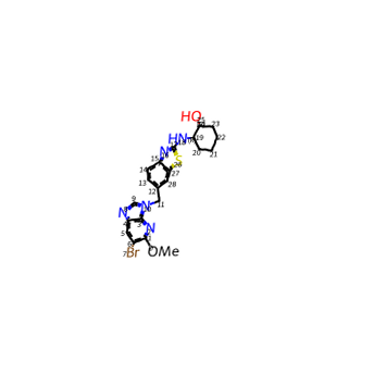 COc1nc2c(cc1Br)ncn2Cc1ccc2nc(N[C@@H]3CCCC[C@H]3O)sc2c1